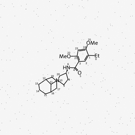 CCc1cc(C(=O)N[C@H]2CCN(C3C4CCCC3CCC4)C2)c(OC)cc1OC